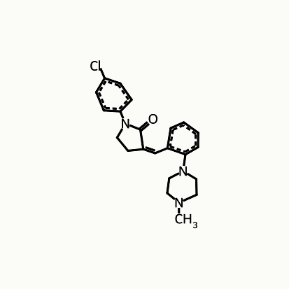 CN1CCN(c2ccccc2C=C2CCN(c3ccc(Cl)cc3)C2=O)CC1